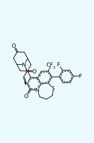 C=CC(=O)N1C2CC(=O)CC1CN(c1nc(=O)n3c4c(c(-c5ccc(F)cc5F)c(C(F)(F)F)cc14)SCCC3)C2